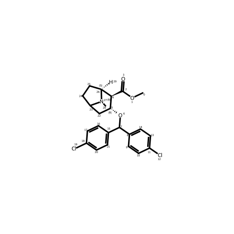 COC(=O)[C@H]1[C@H](OC(c2ccc(Cl)cc2)c2ccc(Cl)cc2)CC2CC[C@@H]1N2C